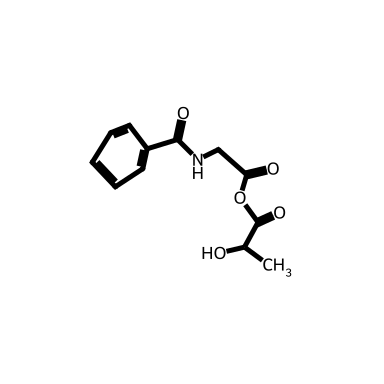 CC(O)C(=O)OC(=O)CNC(=O)c1ccccc1